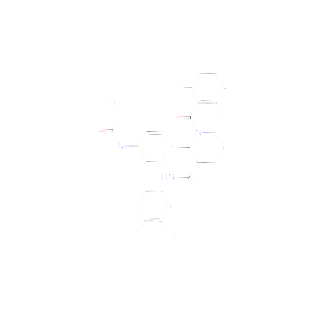 Cc1ccc(NC(=O)C2CCCN(C(=O)c3c(C)cccc3F)C2c2ccc(NC(=O)OC(C)(C)C)cc2)cc1C(F)(F)F